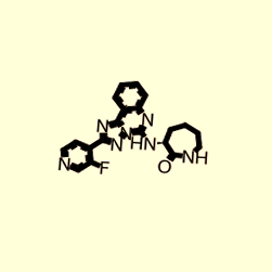 O=C1NCCCC[C@H]1Nc1nc2ccccc2c2nc(-c3ccncc3F)nn12